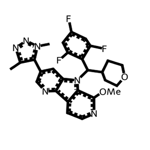 COc1nccc2c3ncc(-c4c(C)nnn4C)cc3n(C(c3c(F)cc(F)cc3F)C3CCOCC3)c12